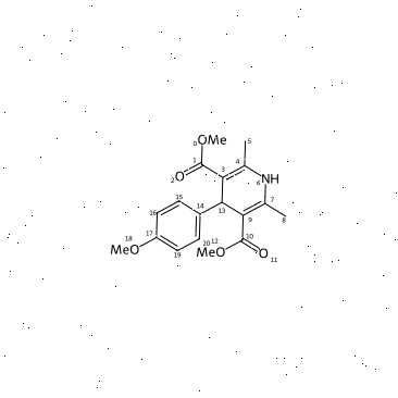 COC(=O)C1=C(C)NC(C)=C(C(=O)OC)C1c1ccc(OC)cc1